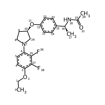 CCOc1ccc(N2CC[C@@H](Oc3ccc([C@H](C)NC(C)=O)cc3)C2)c(F)c1F